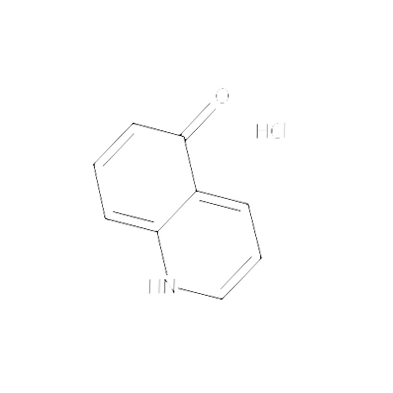 Cl.O=c1cccc2[nH]cccc1-2